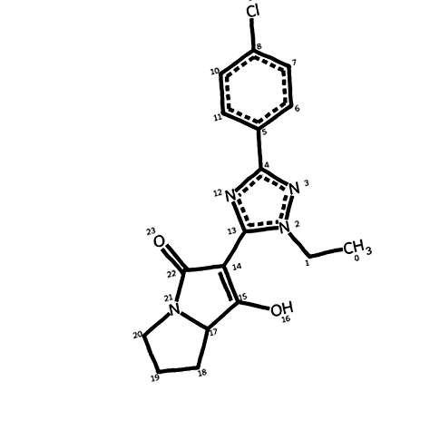 CCn1nc(-c2ccc(Cl)cc2)nc1C1=C(O)C2CCCN2C1=O